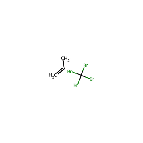 BrC(Br)(Br)Br.[CH2]C=C